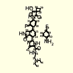 CCN(CC)CCNC(=O)c1[nH]c(-c2ccc(-c3ccc(NC(=O)C4(C(=O)O)CCC4)cc3F)c3c2C(=O)NC3)nc1C.Nc1ccc(F)cc1